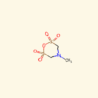 CN1CS(=O)(=O)OS(=O)(=O)C1